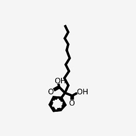 CCCCCCCCCCC(C(=O)O)(C(=O)O)c1ccccc1